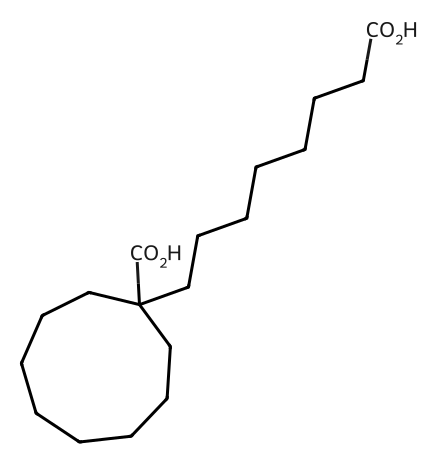 O=C(O)CCCCCCCC1(C(=O)O)CCCCCCCC1